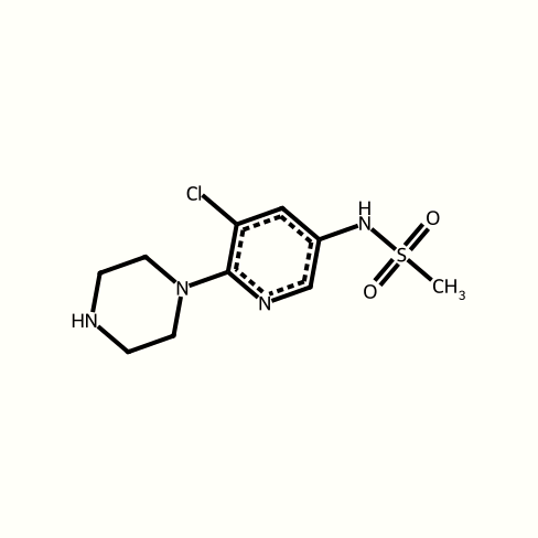 CS(=O)(=O)Nc1cnc(N2CCNCC2)c(Cl)c1